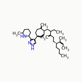 C=C1CCC(c2c[nH]nc2C2CCCC(C)N2)=C=CC1CC(CC)C(=C)CC[C@H](CCCC)/C(C)=C\C